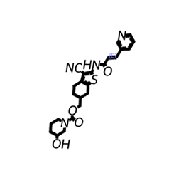 N#Cc1c(NC(=O)/C=C/c2cccnc2)sc2c1CCC(COC(=O)N1CCCC(O)C1)C2